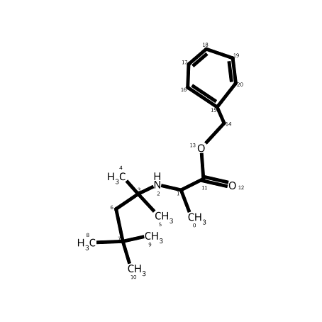 CC(NC(C)(C)CC(C)(C)C)C(=O)OCc1ccccc1